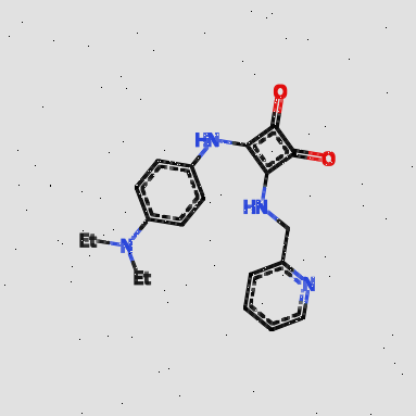 CCN(CC)c1ccc(Nc2c(NCc3ccccn3)c(=O)c2=O)cc1